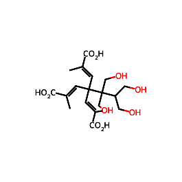 CC(=CC(C=C(C)C(=O)O)(C=C(C)C(=O)O)C(CO)(CO)C(CO)CO)C(=O)O